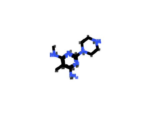 CNc1nc(N2CCNCC2)nc(N)c1C